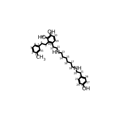 Cc1cccc(CCc2c(CCNCCCCCCNCCc3ccc(O)cc3)ccc(O)c2O)c1